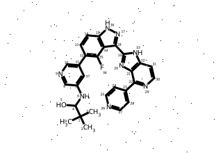 CC(C)(C)C(O)Nc1cncc(-c2ccc3[nH]nc(-c4nc5c(-c6ccncc6)nccc5[nH]4)c3c2F)c1